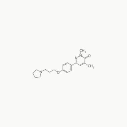 Cc1cc(-c2ccc(OCCCN3CCCC3)cc2)nn(C)c1=O